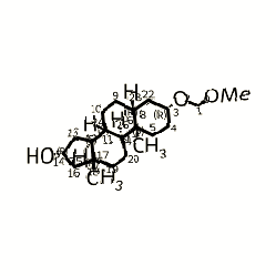 COCO[C@@H]1CC[C@@]2(C)[C@H](CC[C@H]3[C@@H]4C[C@@H](O)C[C@@]4(C)CC[C@@H]32)C1